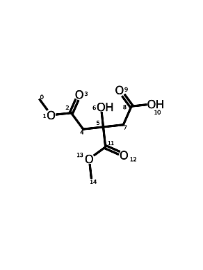 COC(=O)CC(O)(CC(=O)O)C(=O)OC